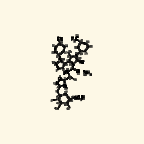 Cc1c(Cc2noc(C(C)NC(=O)n3c(-c4ccnn4-c4ccc(C#N)cc4)c(C)n(-c4cccc(C(F)(F)F)c4)c3=O)n2)cc(S(=O)(=O)O)c(C)c1C.N